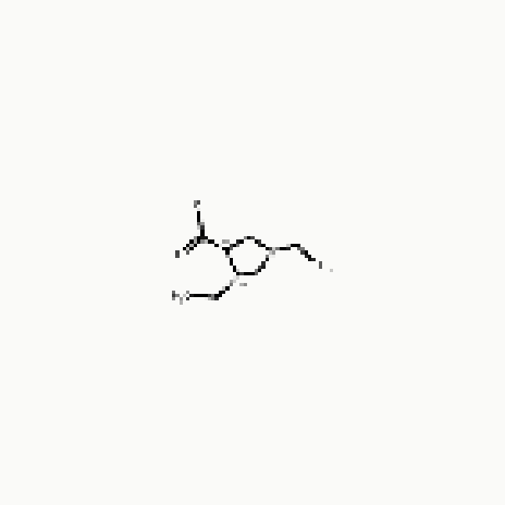 CC[C@@H]1CN(CC)C[C@@H]1C(=O)O